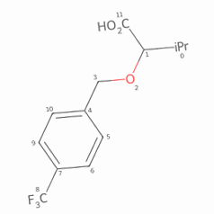 CC(C)C(OCc1ccc(C(F)(F)F)cc1)C(=O)O